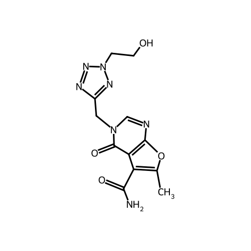 Cc1oc2ncn(Cc3nnn(CCO)n3)c(=O)c2c1C(N)=O